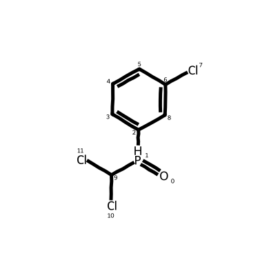 O=[PH](c1cccc(Cl)c1)C(Cl)Cl